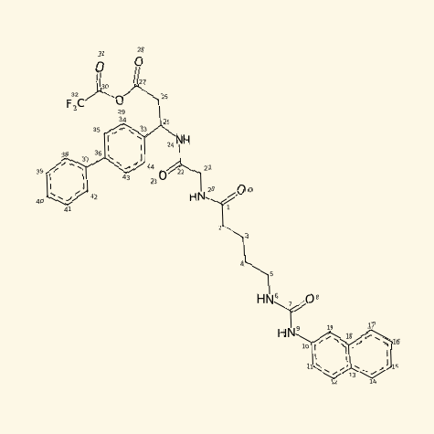 O=C(CCCCNC(=O)Nc1ccc2ccccc2c1)NCC(=O)NC(CC(=O)OC(=O)C(F)(F)F)c1ccc(-c2ccccc2)cc1